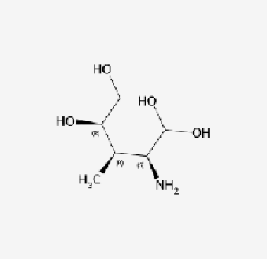 C[C@H]([C@H](N)C(O)O)[C@@H](O)CO